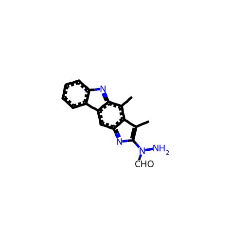 CC1=C(N(N)C=O)N=c2cc3c(c(C)c21)=Nc1ccccc1-3